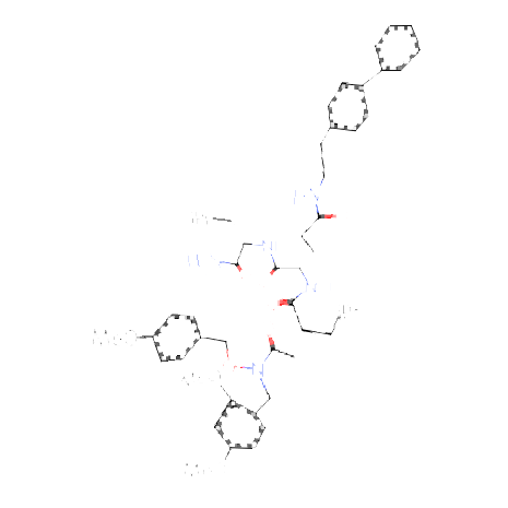 COc1ccc(CON(Cc2ccc(OC)cc2OC)C(=O)C[C@@H](CC(C)C)C(=O)N[C@@H](CCC(=O)NCCc2ccc(-c3ccccc3)cc2)C(=O)N[C@@H](CC(C)C)C(N)=O)cc1